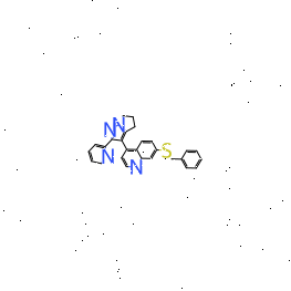 c1ccc(CSc2ccc3c(-c4c(-c5ccccn5)nn5c4CCC5)ccnc3c2)cc1